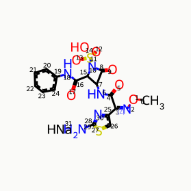 CO/N=C(\C(=O)NC1C(=O)N(S(=O)(=O)O)C1C(=O)Nc1ccccc1)c1csc(N)n1.[NaH]